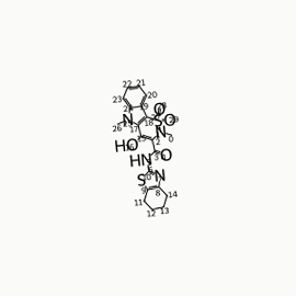 CN1C(C(=O)Nc2nc3c(s2)CCCC3)=C(O)c2c(c3ccccc3n2C)S1(=O)=O